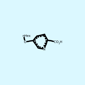 CCCCCCOc1ccc(C(=O)O)nc1